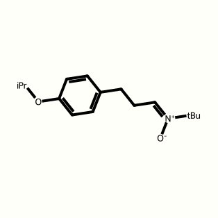 CC(C)Oc1ccc(CCC=[N+]([O-])C(C)(C)C)cc1